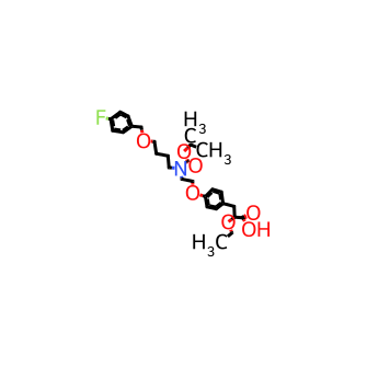 CCOC(Cc1ccc(OCCN(CCCCOCc2ccc(F)cc2)C(=O)OC(C)C)cc1)C(=O)O